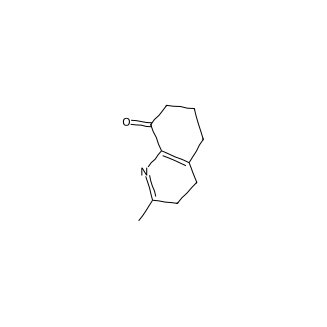 CC1=NC2=C(CCCC2=O)CC1